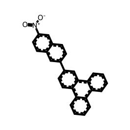 O=[N+]([O-])c1ccc2cc(-c3ccc4c5ccccc5c5ccccc5c4c3)ccc2c1